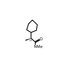 CNC(=O)[C@@H](C)C1CCCCC1